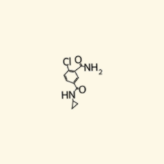 NC(=O)c1cc(C(=O)NC2CC2)ccc1Cl